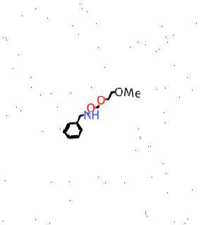 COCCOCONCc1ccccc1